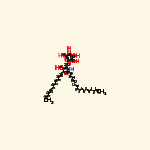 CCCC/C=C/C=C/C=C\CCCCCCCC(=O)N[C@@H](COC1OC(O)C(O)C(O)C1O)[C@H](O)CCCCCCCCCCCCCCC